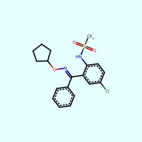 O=S(=O)(Nc1ccc(Cl)cc1/C(=N/OC1CCCC1)c1ccccc1)C(F)(F)F